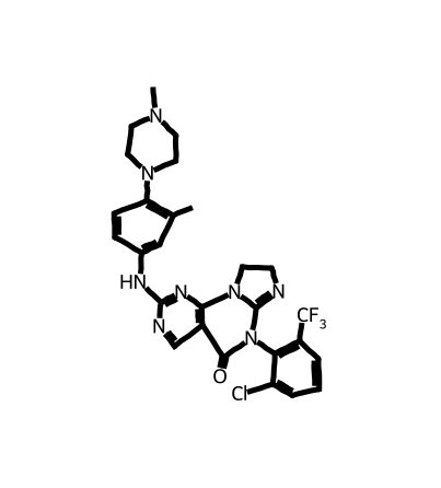 Cc1cc(Nc2ncc3c(n2)N2CCN=C2N(c2c(Cl)cccc2C(F)(F)F)C3=O)ccc1N1CCN(C)CC1